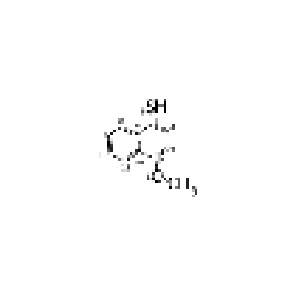 COc1ccc(S)c2ccccc12